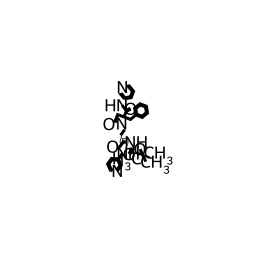 CC(C)(C)OC(=O)N[C@@H](CCN1C(=O)CC1(Cc1ccccc1)C(=O)Nc1cccnc1)C(=O)Nc1cccnc1